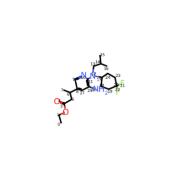 CCOC(=O)CC(C)c1cnc(N(CC(C)C)C2CCC(F)(F)CC2)c(N)c1